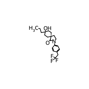 CCC[C@]1(O)CC[C@]2(CCN(c3ccc(CC(F)(F)F)cc3)C2=O)CC1